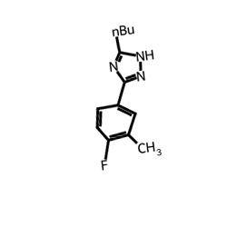 CCCCc1nc(-c2ccc(F)c(C)c2)n[nH]1